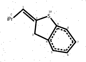 CC(C)/C=C1\Cc2ccccc2S1